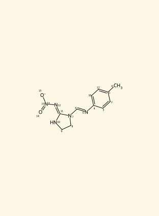 Cc1ccc(N=CN2CCNC2=N[N+](=O)[O-])cc1